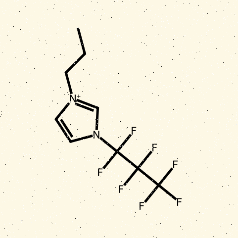 CCC[n+]1ccn(C(F)(F)C(F)(F)C(F)(F)F)c1